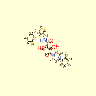 O=C(NCc1cc(Cc2cccc(F)c2)cs1)[C@H](O)[C@@H](O)C(=O)N1CCN(c2ccccc2F)CC1